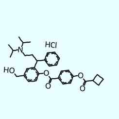 CC(C)N(CCC(c1ccccc1)c1cc(CO)ccc1OC(=O)c1ccc(OC(=O)C2CCC2)cc1)C(C)C.Cl